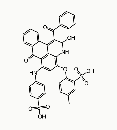 Cc1ccc(Oc2cc(Nc3ccc(S(=O)(=O)O)cc3)c3c4c2NC(O)C(C(=O)c2ccccc2)=C4c2ccccc2C3=O)c(S(=O)(=O)O)c1